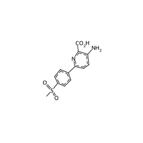 CS(=O)(=O)c1ccc(-c2ccc(N)c(C(=O)O)n2)cc1